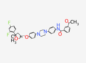 CC(=O)c1cccc(C(=O)Nc2ccc(N3CCN(c4ccc(OC[C@@H]5CO[C@@](C)(c6ccc(F)cc6F)C5)cc4)CC3)cc2)c1